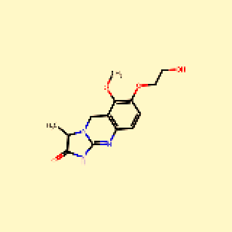 COc1c(OCCO)ccc2c1CN1C(=N2)NC(=O)C1C